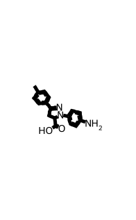 Cc1ccc(C2=NN(c3ccc(N)cc3)C(C(=O)O)C2)cc1